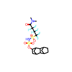 CN(C)C(=O)C(F)(F)C(F)(F)C(F)(F)S(=O)(=O)NS(=O)(=O)OC1CC2CC1C1C3CCC(C3)C21